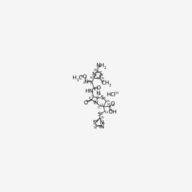 CON=C(C(=O)NC1C(=O)N2CC(CSc3nncs3)(C(=O)O)CS[C@H]12)c1nc(N)sc1C.Cl